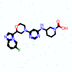 O=C(O)N1CCCC(Nc2cc(N3CCOC(c4cnc5ccc(F)cn45)C3)ncn2)C1